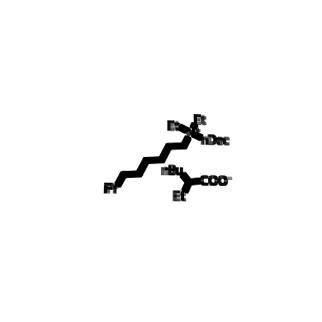 CCCCC(CC)C(=O)[O-].CCCCCCCCCC[N+](CC)(CC)CCCCCCC(C)C